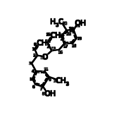 C=CC(Cc1ccc(O)c(C)c1)OC(C=C)Cc1ccc(O)c(C)c1